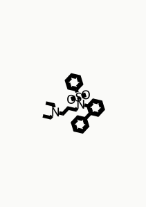 CCN(CC)CCCN(c1ccccc1-c1ccccc1)S(=O)(=O)c1ccccc1